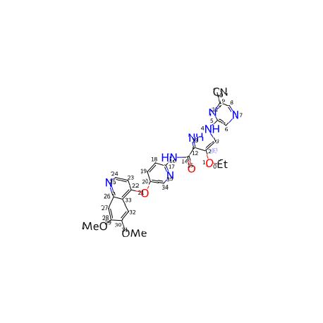 CCO/C(=C/Nc1cncc(C#N)n1)C(=N)C(=O)Nc1ccc(Oc2ccnc3cc(OC)c(OC)cc23)cn1